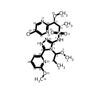 CCC(OC)n1c(NS(=O)(=O)[C@@H](C)[C@H](OC)c2ncc(Cl)cn2)nnc1-c1cccc(OC)n1